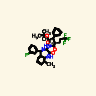 Cc1cccc2c1NC(=O)C(NC(=O)[C@H](CCC(F)(F)F)[C@@H](C(=O)OC(C)(C)C)c1ccccc1)N=C2c1cccc(F)c1